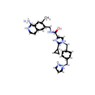 Cc1cc2c(N)nccc2cc1CNC(=O)c1cn(Cc2ccc(Cn3cccn3)cc2)c(C2CC2)n1